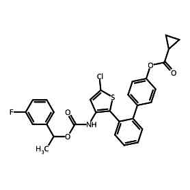 CC(OC(=O)Nc1cc(Cl)sc1-c1ccccc1-c1ccc(OC(=O)C2CC2)cc1)c1cccc(F)c1